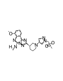 COc1cccc2c1nc(N)n1nc([C@@H]3CCCN(c4cnn(CS(C)(=O)=O)c4)C3)nc21